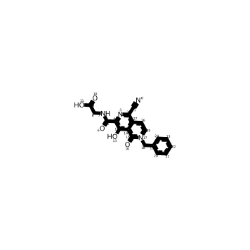 N#Cc1nc(C(=O)NCC(=O)O)c(O)c2c(=O)n(Cc3ccccc3)ccc12